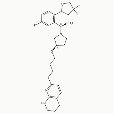 CC1(C)COC(c2ccc(F)cc2[C@@H](C(=O)O)N2CC[C@@H](OCCCCc3ccc4c(n3)NCCC4)C2)C1